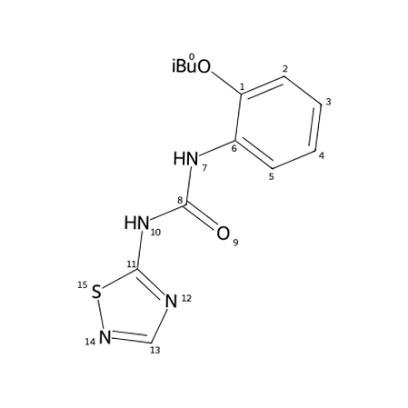 CC(C)COc1ccccc1NC(=O)Nc1ncns1